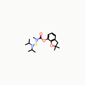 CC(C)N(SN(C)C(=O)Oc1cccc2c1OC(C)(C)C2)C(C)C